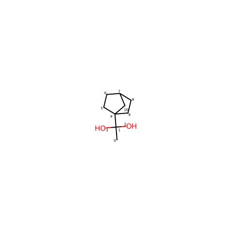 CC(O)(O)C12CCC(CC1)C2